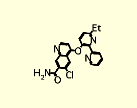 CCc1ccc(Oc2ccnc3cc(C(N)=O)c(Cl)cc23)c(-c2ccccn2)n1